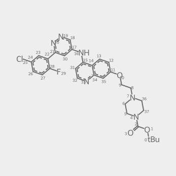 CC(C)(C)OC(=O)N1CCN(CCOc2ccc3c(Nc4cnnc(-c5cc(Cl)ccc5F)c4)ccnc3c2)CC1